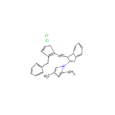 Cc1cc(C)n(C2=Cc3ccccc3[CH]2[Hf+2][C]2=C(Cc3ccccc3)C=CC2)c1.[Cl-].[Cl-]